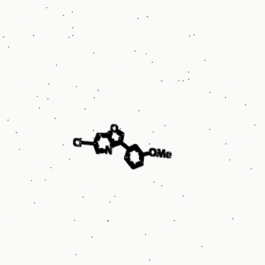 COc1cccc(-c2coc3cc(Cl)cnc23)c1